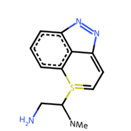 CNC(CN)S1=CC=C2N=Nc3cccc1c32